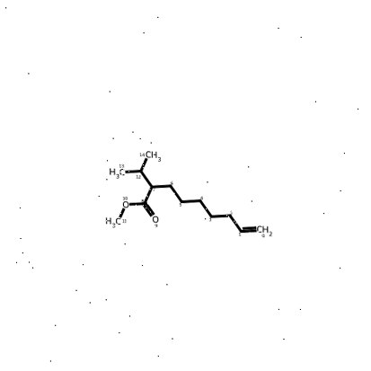 C=CCCCCCC(C(=O)OC)C(C)C